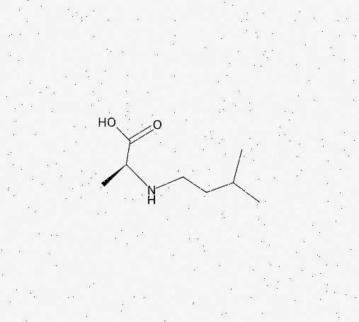 CC(C)CCN[C@@H](C)C(=O)O